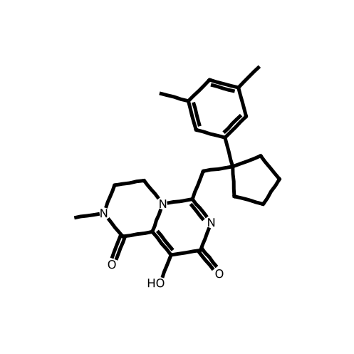 Cc1cc(C)cc(C2(Cc3nc(=O)c(O)c4n3CCN(C)C4=O)CCCC2)c1